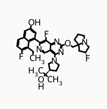 CCc1c(F)ccc2cc(O)cc(-c3ncc4c(N5CC[C@@H](C(C)(C)O)C5)nc(OCC56CCCN5C[C@H](F)C6)nc4c3F)c12